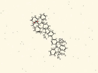 CC1(C)c2cc(-c3ccc4c(c3)C(C)(C)c3cccc5c3N4c3ccccc3C5(C)C)ccc2-c2ccc(N(c3ccccc3-c3ccccc3)c3cccc4ccccc34)cc21